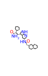 NC(=O)/C(=C/c1c[nH]c2ncc(NC(=O)Cc3ccc4ccccc4c3)cc12)c1ccccc1